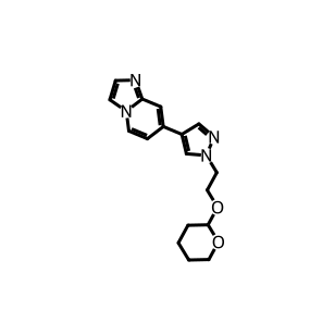 c1cn2ccc(-c3cnn(CCOC4CCCCO4)c3)cc2n1